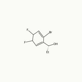 CC[C@@H](O)C1=CC(F)C(F)C=C1Br